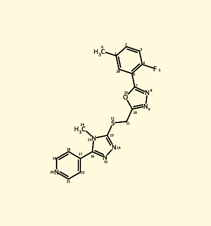 Cc1ccc(F)c(-c2nnc(CSc3nnc(-c4ccncc4)n3C)o2)c1